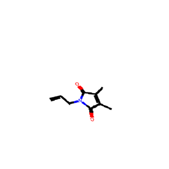 C=C[CH]N1C(=O)C(C)=C(C)C1=O